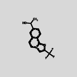 CC(O)c1ccc2c(ccn3cc(C(F)(F)F)nc23)c1